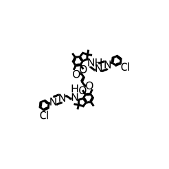 Cc1cc(C)c(OC(=O)/C=C/C(=O)Oc2c(C)cc(C)c3c2C(NCCN2CCN(c4cccc(Cl)c4)CC2)C(C)(C)C3)c2c1CC(C)(C)C2NCCN1CCN(c2cccc(Cl)c2)CC1